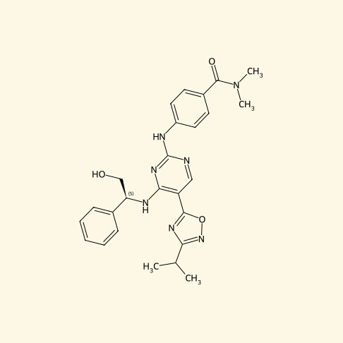 CC(C)c1noc(-c2cnc(Nc3ccc(C(=O)N(C)C)cc3)nc2N[C@H](CO)c2ccccc2)n1